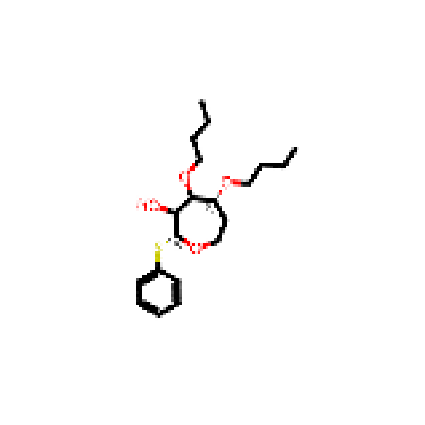 CCCCOC1C(O)[C@@H](Sc2ccccc2)OCC[C@H]1OCCCC